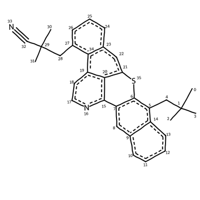 CC(C)(C)Cc1c2c(cc3ccccc13)-c1nccc3c1c(cc1cccc(CC(C)(C)C#N)c13)S2